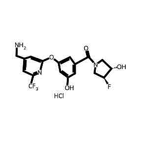 Cl.NCc1cc(Oc2cc(O)cc(C(=O)N3C[C@H](O)[C@@H](F)C3)c2)nc(C(F)(F)F)c1